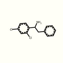 NC(Cc1ccccc1)c1ccc(Cl)cc1Cl